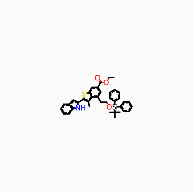 CCOC(=O)c1cc(CCO[Si](c2ccccc2)(c2ccccc2)C(C)(C)C)c2c(C)c(-c3cc4ccccc4[nH]3)sc2c1